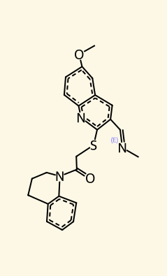 C/N=C/c1cc2cc(OC)ccc2nc1SCC(=O)N1CCCc2ccccc21